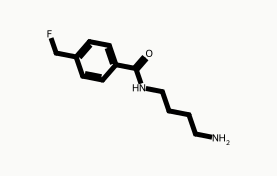 NCCCCNC(=O)c1ccc(CF)cc1